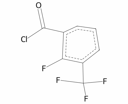 O=C(Cl)c1cccc(C(F)(F)F)c1F